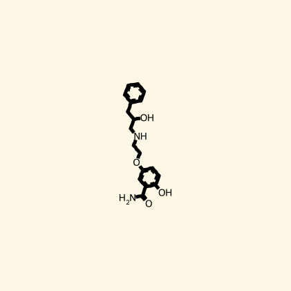 NC(=O)c1cc(OCCNCC(O)Cc2ccccc2)ccc1O